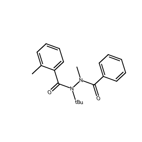 Cc1ccccc1C(=O)N(N(C)C(=O)c1ccccc1)C(C)(C)C